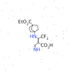 CCOC(=O)C12CCC(N/C(=C(\C=N)C(=O)O)C(F)(F)F)(CC1)C2